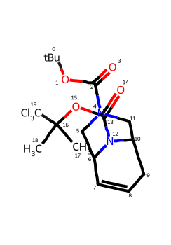 CC(C)(C)OC(=O)N1CC2C=CCC(C1)N2C(=O)OC(C)(C)C(Cl)(Cl)Cl